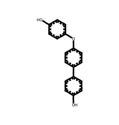 Oc1ccc(Oc2ccc(-c3ccc(O)cc3)cc2)cc1